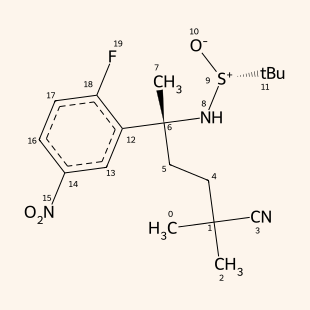 CC(C)(C#N)CC[C@@](C)(N[S@+]([O-])C(C)(C)C)c1cc([N+](=O)[O-])ccc1F